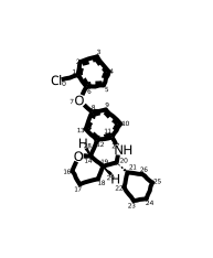 Clc1ccccc1Oc1ccc2c(c1)[C@H]1OCCC[C@H]1[C@@H](C1CCCCC1)N2